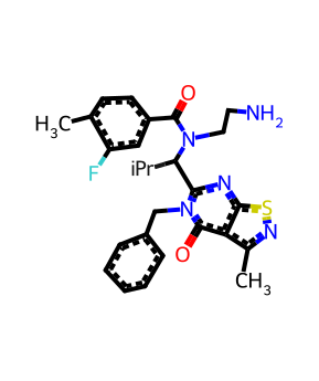 Cc1ccc(C(=O)N(CCN)C(c2nc3snc(C)c3c(=O)n2Cc2ccccc2)C(C)C)cc1F